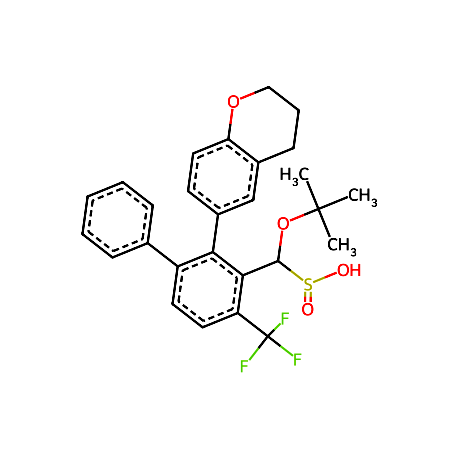 CC(C)(C)OC(c1c(C(F)(F)F)ccc(-c2ccccc2)c1-c1ccc2c(c1)CCCO2)S(=O)O